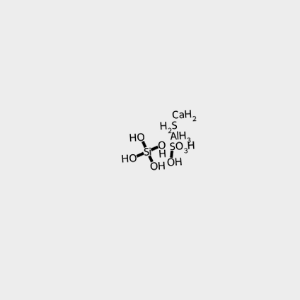 O=S(=O)(O)O.O[Si](O)(O)O.S.[AlH3].[CaH2]